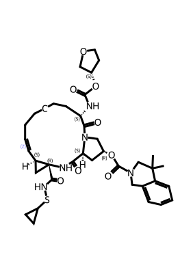 CC1(C)CN(C(=O)O[C@@H]2C[C@H]3C(=O)N[C@]4(C(=O)NSC5CC5)C[C@H]4/C=C\CCCCC[C@H](NC(=O)O[C@H]4CCOC4)C(=O)N3C2)Cc2ccccc21